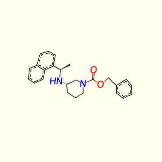 C[C@@H](N[C@H]1CCCN(C(=O)OCc2ccccc2)C1)c1cccc2ccccc12